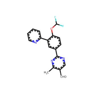 Cc1nc(-c2ccc(OC(F)F)c(-c3ccccn3)c2)ncc1C=O